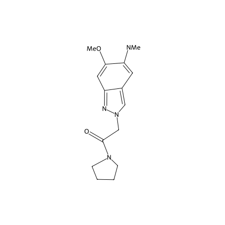 CNc1cc2cn(CC(=O)N3CCCC3)nc2cc1OC